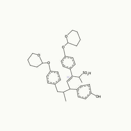 CC(Cc1ccc(OC2CCCCO2)cc1)C(/C=C(/c1ccc(OC2CCCCO2)cc1)C(C)S(=O)(=O)O)c1ccc(O)cc1